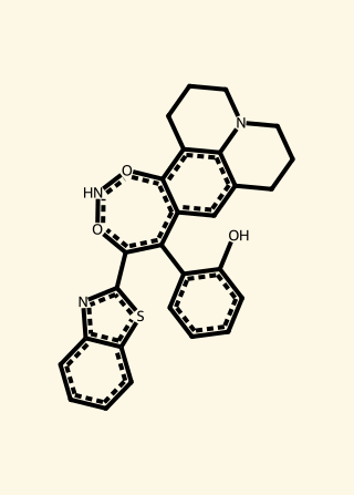 Oc1ccccc1-c1c(-c2nc3ccccc3s2)o[nH]oc2c3c4c(cc12)CCCN4CCC3